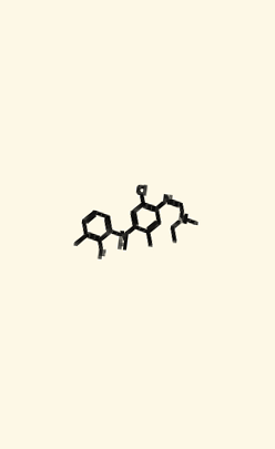 CCN(C)/C=N\c1cc(C)c(Nc2cccc(C)c2F)cc1Cl